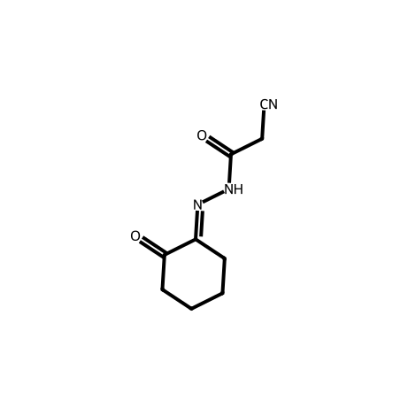 N#CCC(=O)NN=C1CCCCC1=O